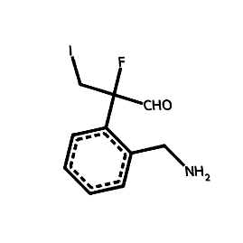 NCc1ccccc1C(F)(C=O)CI